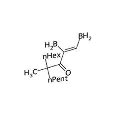 B/C=C(\B)C(=O)C(C)(CCCCC)CCCCCC